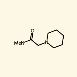 C[N]C(=O)CN1CCCCC1